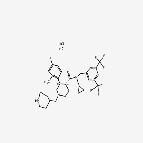 Cc1cc(F)ccc1[C@@H]1CN(CC2CCNCC2)CC[C@H]1C(=O)N(Cc1cc(C(F)(F)F)cc(C(F)(F)F)c1)C1CC1.Cl.Cl